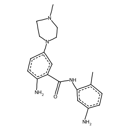 Cc1ccc(N)cc1NC(=O)c1cc(N2CCN(C)CC2)ccc1N